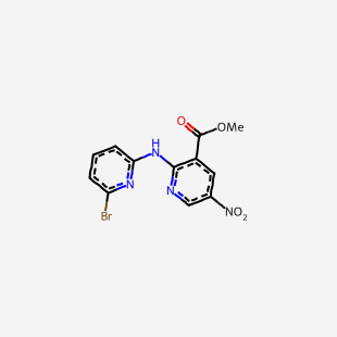 COC(=O)c1cc([N+](=O)[O-])cnc1Nc1cccc(Br)n1